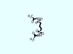 CC(=O)NS(=O)(=O)CCCS(=O)(=O)NC(C)=O